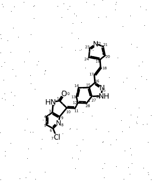 O=C1Nc2ccc(Cl)nc2C1=Cc1ccc2c(C=Cc3ccncc3)n[nH]c2c1